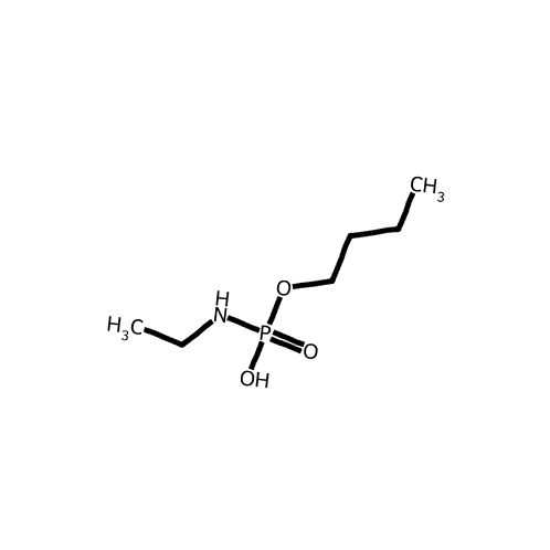 CCCCOP(=O)(O)NCC